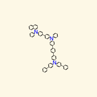 c1ccc(-c2ccc(N(c3ccc(-c4ccccc4)cc3)c3ccc(-c4ccc(-c5ccc(N(c6ccccc6)c6ccc(-c7ccc(N(c8ccccc8)c8cccc9ccccc89)cc7)cc6)cc5)cc4)cc3)cc2)cc1